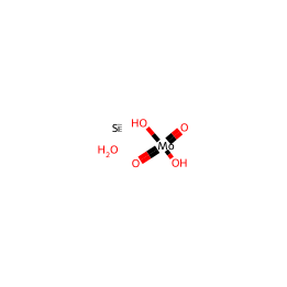 O.[O]=[Mo](=[O])([OH])[OH].[Si]